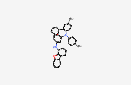 CC(C)(C)c1ccc(N(c2cccc(Nc3cccc4c3oc3ccccc34)c2)c2ccc(C(C)(C)C)cc2-c2ccccc2)cc1